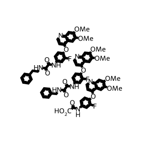 COc1cc2nccc(Oc3ccc(NC(=O)C(=O)NCCc4ccccc4)cc3F)c2cc1OC.COc1cc2nccc(Oc3ccc(NC(=O)C(=O)NCc4ccccc4)cc3F)c2cc1OC.COc1cc2nccc(Oc3ccc(NC(=O)C(=O)O)cc3F)c2cc1OC